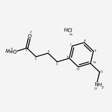 COC(=O)CCCc1cccc(CN)c1.Cl